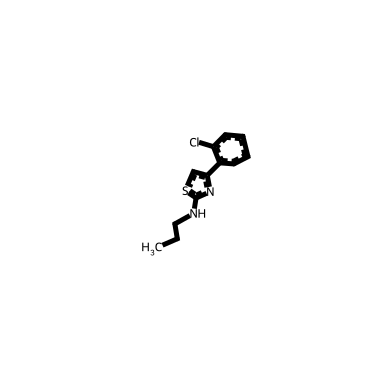 CCCNc1nc(-c2ccccc2Cl)cs1